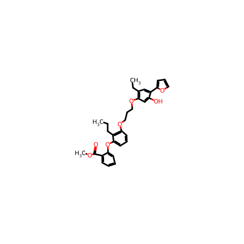 CCCc1c(OCCCOc2cc(O)c(-c3ccco3)cc2CC)cccc1Oc1ccccc1C(=O)OC